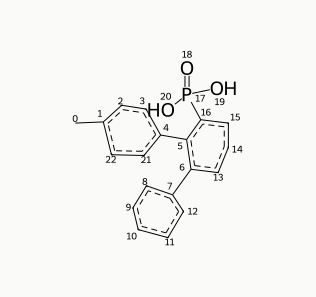 Cc1ccc(-c2c(-c3ccccc3)cccc2P(=O)(O)O)cc1